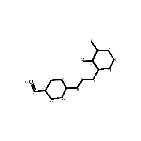 CC1CCCC(CCCC2CCC(C=O)CC2)C1C